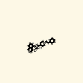 O=c1[nH]c(C2CCN(CCC3CCCCC3)CC2)nn1-c1cccc2cnccc12